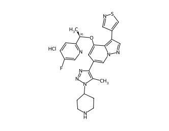 Cc1c(-c2cc(O[C@H](C)c3ccc(F)cn3)c3c(-c4cnsc4)cnn3c2)nnn1C1CCNCC1.Cl